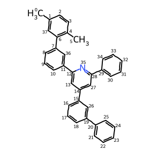 Cc1ccc(C)c(-c2cccc(-c3cc(-c4cccc(-c5ccccc5)c4)cc(-c4ccccc4)n3)c2)c1